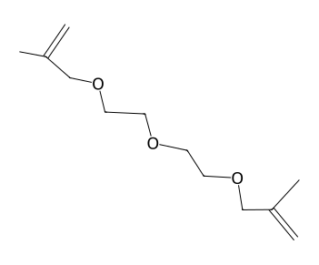 C=C(C)COCCOCCOCC(=C)C